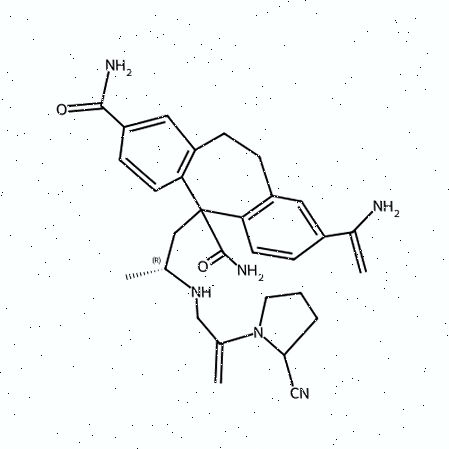 C=C(N)c1ccc2c(c1)CCc1cc(C(N)=O)ccc1C2(C[C@@H](C)NCC(=C)N1CCCC1C#N)C(N)=O